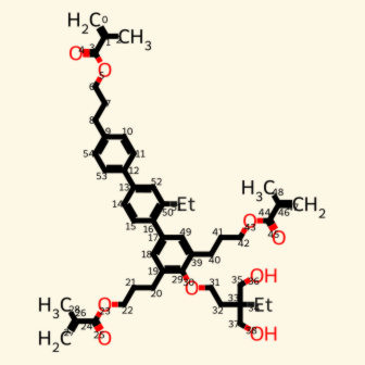 C=C(C)C(=O)OCCCc1ccc(-c2ccc(-c3cc(CCCOC(=O)C(=C)C)c(OCCC(CC)(CO)CO)c(CCCOC(=O)C(=C)C)c3)c(CC)c2)cc1